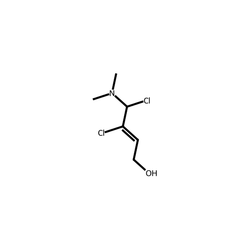 CN(C)C(Cl)C(Cl)=CCO